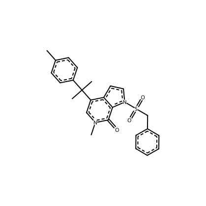 Cc1ccc(C(C)(C)c2cn(C)c(=O)c3c2ccn3S(=O)(=O)Cc2ccccc2)cc1